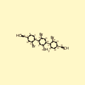 Bc1cc(-c2ccc(C#C)cc2Br)c(Br)cc1-c1ccc(C#C)cc1Br